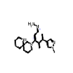 C=C(C(=C)c1cnn(C)c1)/C(=C\C=N/N)N1CCCC2(CCCCN2)C1